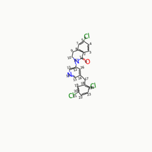 O=C1c2ccc(Cl)cc2CCN1c1cncc(Cc2cc(Cl)ccc2Cl)c1